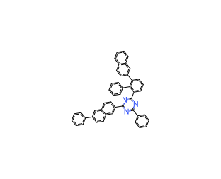 c1ccc(-c2ccc3cc(-c4nc(-c5ccccc5)nc(-c5cccc(-c6ccc7ccccc7c6)c5-c5ccccc5)n4)ccc3c2)cc1